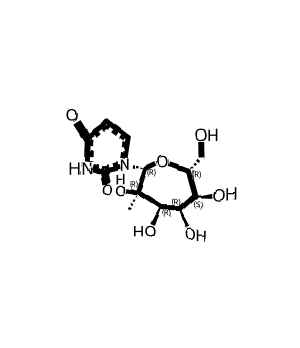 C[C@@]1(O)[C@H](O)[C@H](O)[C@H](O)[C@@H](CO)O[C@H]1n1ccc(=O)[nH]c1=O